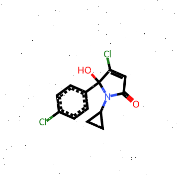 O=C1C=C(Cl)C(O)(c2ccc(Cl)cc2)N1C1CC1